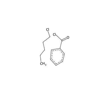 CCCCCCl.O=C(Cl)c1ccccc1